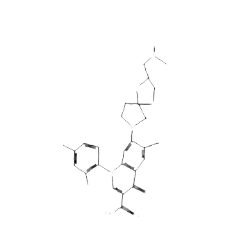 CN(C)CC1COC2(CCN(c3cc4c(cc3F)c(=O)c(C(=O)O)cn4-c3ccc(F)cc3F)C2)O1